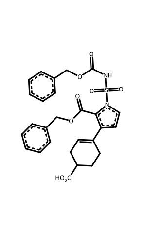 O=C(NS(=O)(=O)n1ccc(C2=CCC(C(=O)O)CC2)c1C(=O)OCc1ccccc1)OCc1ccccc1